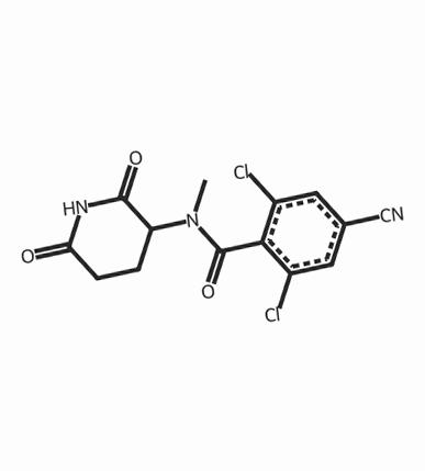 CN(C(=O)c1c(Cl)cc(C#N)cc1Cl)C1CCC(=O)NC1=O